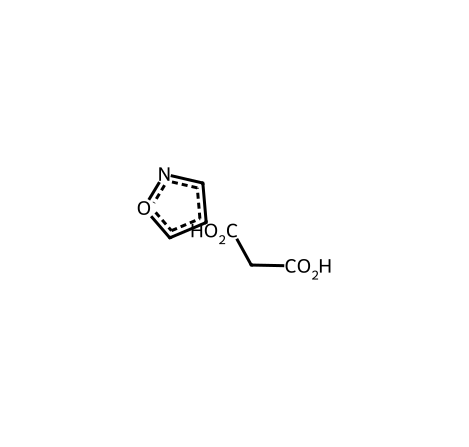 O=C(O)CC(=O)O.c1cnoc1